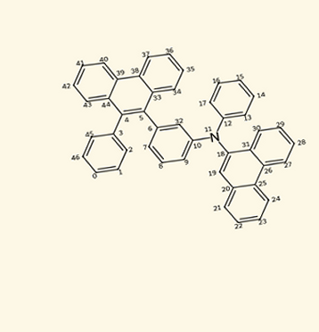 c1ccc(-c2c(-c3cccc(N(c4ccccc4)c4cc5ccccc5c5ccccc45)c3)c3ccccc3c3ccccc23)cc1